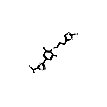 CCc1ncc(CCCOc2c(C)cc(-c3noc(C(F)F)n3)cc2C)s1